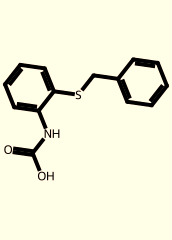 O=C(O)Nc1ccccc1SCc1ccccc1